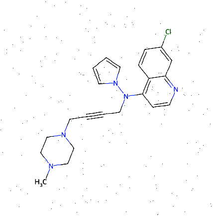 CN1CCN(CC#CCN(c2ccnc3cc(Cl)ccc23)n2cccc2)CC1